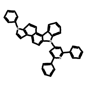 c1ccc(-c2cc(-n3c4ccccc4c4c5ccc6c(ccn6-c6ccccc6)c5ccc43)cc(-c3ccccc3)n2)cc1